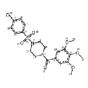 COc1cc(C(=O)N2CCN(S(=O)(=O)c3ccc(Cl)cc3)CC2)cc(OC)c1OC